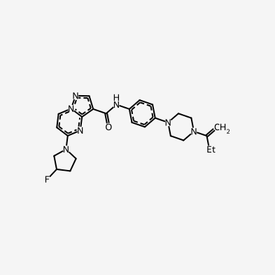 C=C(CC)N1CCN(c2ccc(NC(=O)c3cnn4ccc(N5CCC(F)C5)nc34)cc2)CC1